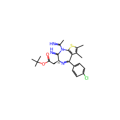 CC(=N)N1C(=N)[C@H](CC(=O)OC(C)(C)C)N=C(c2ccc(Cl)cc2)c2c1sc(C)c2C